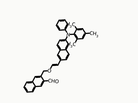 Cc1cc(C)c(N(c2ccccc2)c2ccc3cc(C=COCc4cc5ccccc5cc4C=O)ccc3c2)c(C)c1